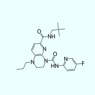 CCCN1CCN(C(=O)Nc2ccc(F)cn2)c2nc(C(=O)NCC(C)(C)C)ccc21